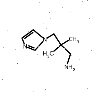 CC(C)(CN)Cn1ccnc1